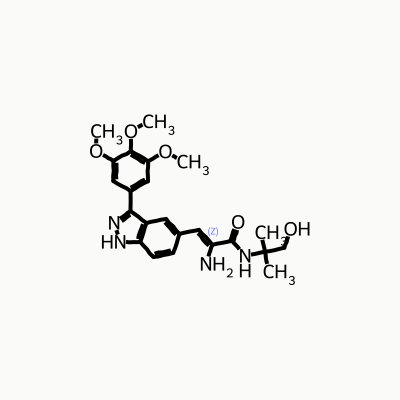 COc1cc(-c2n[nH]c3ccc(/C=C(\N)C(=O)NC(C)(C)CO)cc23)cc(OC)c1OC